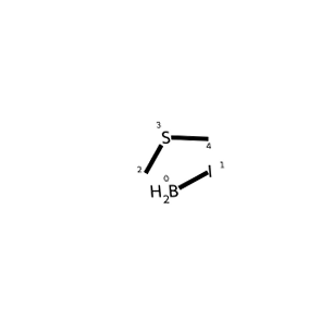 BI.CSC